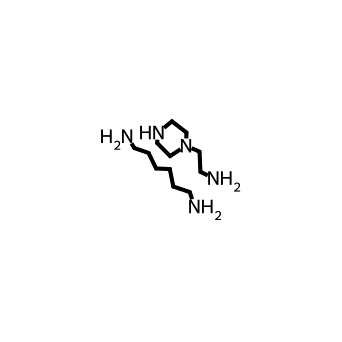 NCCCCCCN.NCCN1CCNCC1